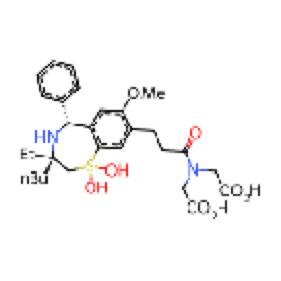 CCCC[C@]1(CC)CS(O)(O)c2cc(CCC(=O)N(CC(=O)O)CC(=O)O)c(OC)cc2[C@@H](c2ccccc2)N1